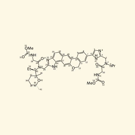 CCCN(Cc1ncc(-c2ccc3c(c2)COc2cc4c(ccc5nc(CN(C(=O)CNC(=O)OC)[C@H](CC)C6(C)CCC[C@@H](C)O6)[nH]c54)cc2-3)[nH]1)C(=O)CNC(=O)OC